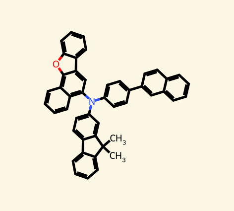 CC1(C)c2ccccc2-c2ccc(N(c3ccc(-c4ccc5ccccc5c4)cc3)c3cc4c5ccccc5oc4c4ccccc34)cc21